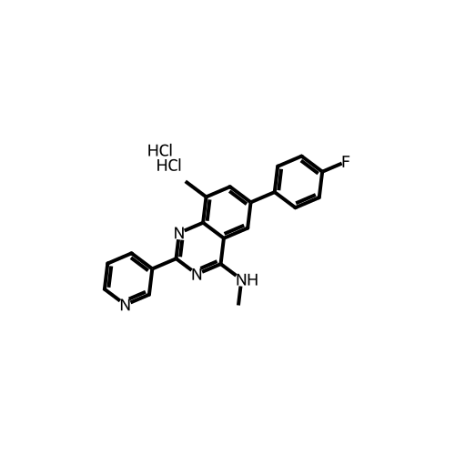 CNc1nc(-c2cccnc2)nc2c(C)cc(-c3ccc(F)cc3)cc12.Cl.Cl